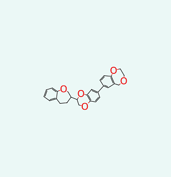 c1ccc2c(c1)CCC(C1COc3ccc(-c4ccc5c(c4)COCCO5)cc3O1)CO2